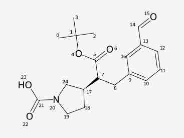 CC(C)(C)OC(=O)C(Cc1cccc(C=O)c1)[C@H]1CCN(C(=O)O)C1